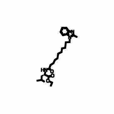 CCOC(=O)[C@H](CC(C)C)NC(=O)CCCCCCCCCCn1c(C)nc2ccccc21